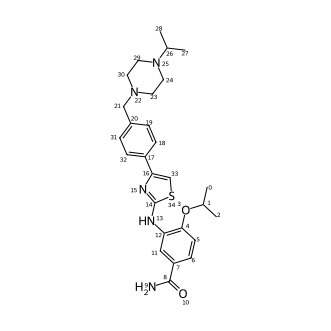 CC(C)Oc1ccc(C(N)=O)cc1Nc1nc(-c2ccc(CN3CCN(C(C)C)CC3)cc2)cs1